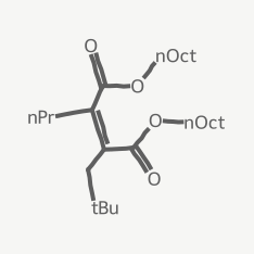 CCCCCCCCOC(=O)C(CCC)=C(CC(C)(C)C)C(=O)OCCCCCCCC